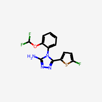 Nc1nnc(-c2ccc(F)s2)n1-c1ccccc1OC(F)F